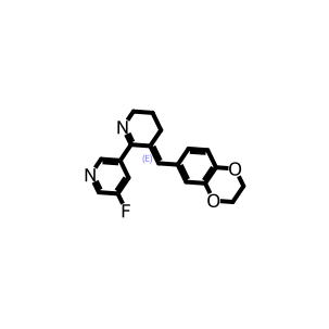 Fc1cncc(C2=NCCC/C2=C\c2ccc3c(c2)OCCO3)c1